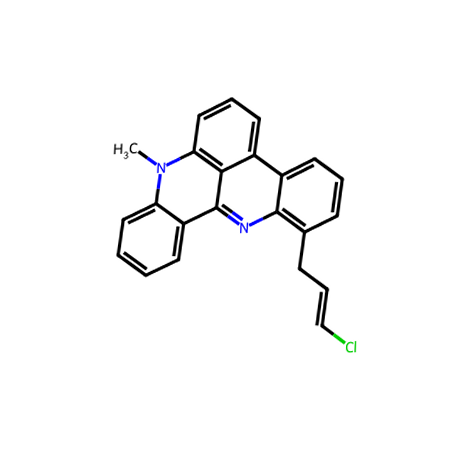 CN1c2ccccc2-c2nc3c(CC=CCl)cccc3c3cccc1c23